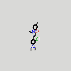 CCN(CC)c1ccc(/C=C/c2oc3cc(C)ccc3[n+]2CC)c(Cl)c1